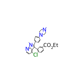 CCOC(=O)c1cccc(-c2c(-c3ccc(N4CCN(C)CC4)cc3)n(C)c3nccc(Cl)c23)c1